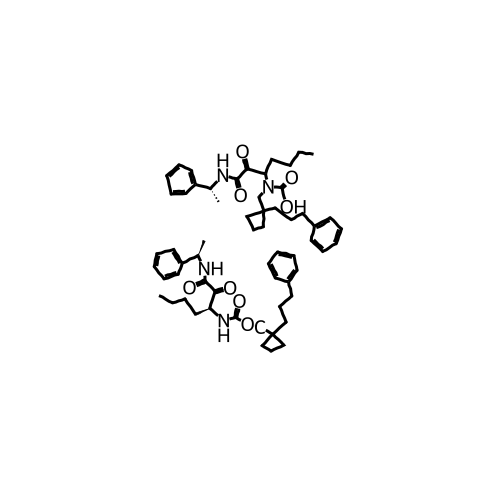 CCCCC(C(=O)C(=O)N[C@H](C)c1ccccc1)N(CC1(CCCc2ccccc2)CCC1)C(=O)O.CCCC[C@H](NC(=O)OCC1(CCCc2ccccc2)CCC1)C(=O)C(=O)N[C@H](C)c1ccccc1